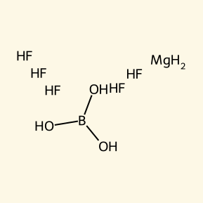 F.F.F.F.F.OB(O)O.[MgH2]